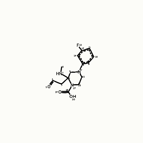 CNC1(CC=O)CN(c2cccc(F)c2)CCN1C(=O)O